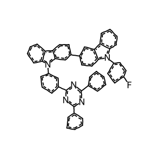 Fc1ccc(-n2c3ccccc3c3cc(-c4ccc5c6ccccc6n(-c6cccc(-c7nc(-c8ccccc8)nc(-c8ccccc8)n7)c6)c5c4)ccc32)cc1